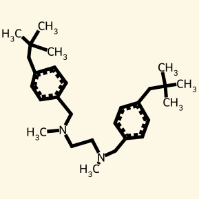 CN(CCN(C)Cc1ccc(CC(C)(C)C)cc1)Cc1ccc(CC(C)(C)C)cc1